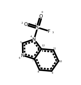 O=S(=O)(F)n1cnc2ccccc21